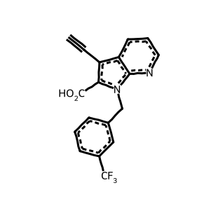 C#Cc1c(C(=O)O)n(Cc2cccc(C(F)(F)F)c2)c2ncccc12